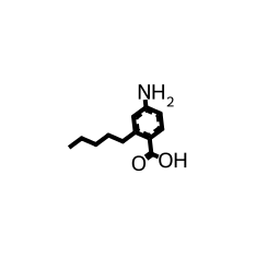 CCCCCc1cc(N)ccc1C(=O)O